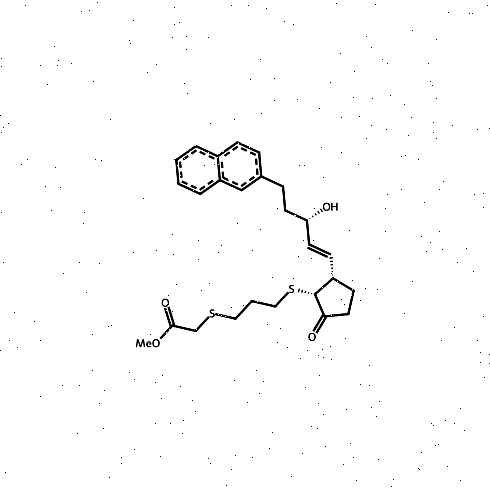 COC(=O)CSCCCS[C@H]1C(=O)CC[C@H]1C=C[C@@H](O)CCc1ccc2ccccc2c1